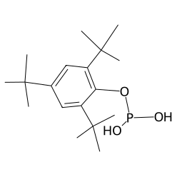 CC(C)(C)c1cc(C(C)(C)C)c(OP(O)O)c(C(C)(C)C)c1